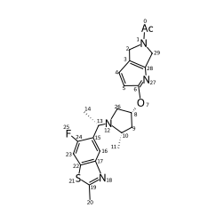 CC(=O)N1Cc2ccc(O[C@@H]3C[C@H](C)N([C@@H](C)c4cc5nc(C)sc5cc4F)C3)nc2C1